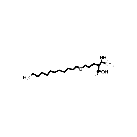 CCCCCCCCCCCCOCCCC(C(=O)O)C(C)N